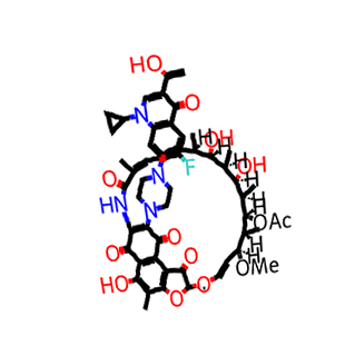 C=C(O)c1cn(C2CC2)c2cc(N3CCN(C4=C5NC(=O)/C(C)=C\C=C\[C@H](C)[C@H](O)[C@@H](C)[C@@H](O)[C@@H](C)[C@H](OC(C)=O)[C@H](C)[C@@H](OC)/C=C/O[C@@]6(C)Oc7c(C)c(O)c(c(c7C6=O)C4=O)C5=O)CC3)c(F)cc2c1=O